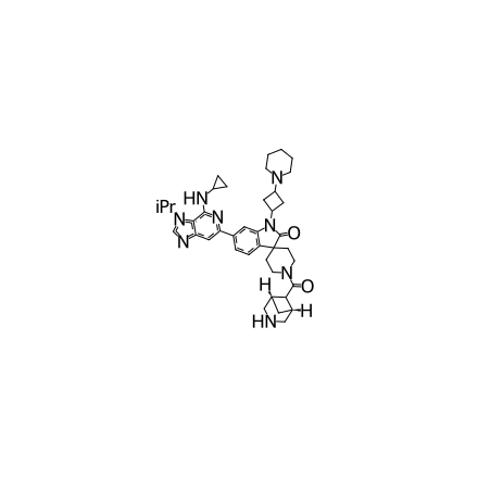 CC(C)n1cnc2cc(-c3ccc4c(c3)N(C3CC(N5CCCCC5)C3)C(=O)C43CCN(C(=O)C4[C@@H]5CNC[C@H]4C5)CC3)nc(NC3CC3)c21